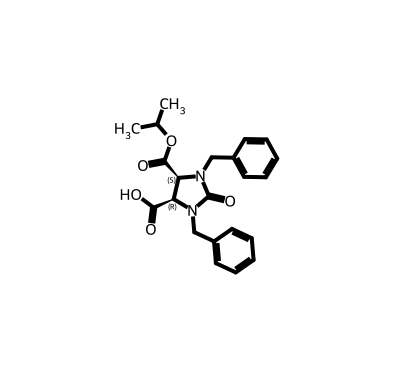 CC(C)OC(=O)[C@@H]1[C@H](C(=O)O)N(Cc2ccccc2)C(=O)N1Cc1ccccc1